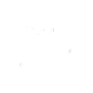 CC(C)CCCCCC(S)(CCCCCC(C)C)C(=O)O